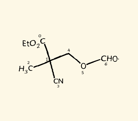 CCOC(=O)C(C)(C#N)CO[C]=O